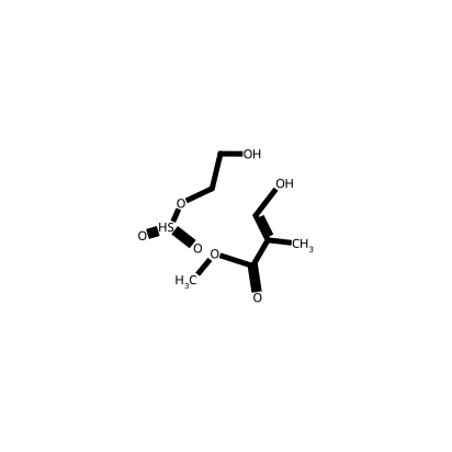 COC(=O)C(C)=CO.O=[SH](=O)OCCO